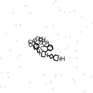 COc1cc(CN2CCN(C3CC4(CCNCC4)C3)C(c3ccccc3C(C)C)C2)cc(OC)c1OC